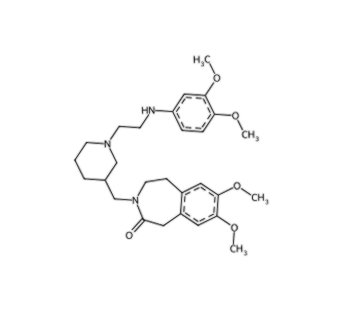 COc1ccc(NCCN2CCCC(CN3CCc4cc(OC)c(OC)cc4CC3=O)C2)cc1OC